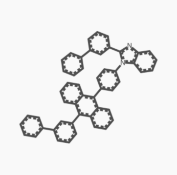 c1ccc(-c2cccc(-c3c4ccccc4c(-c4ccc(-n5c(-c6cccc(-c7ccccc7)c6)nc6ccccc65)cc4)c4ccccc34)c2)cc1